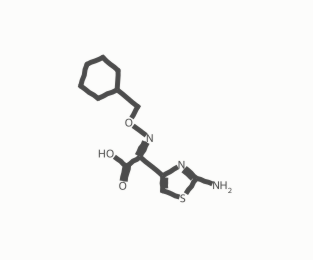 Nc1nc(/C(=N/OCC2CCCCC2)C(=O)O)cs1